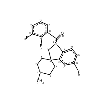 CN1CCC2(CC1)CN(C(=O)c1cccc(F)c1F)c1ccc(F)cc12